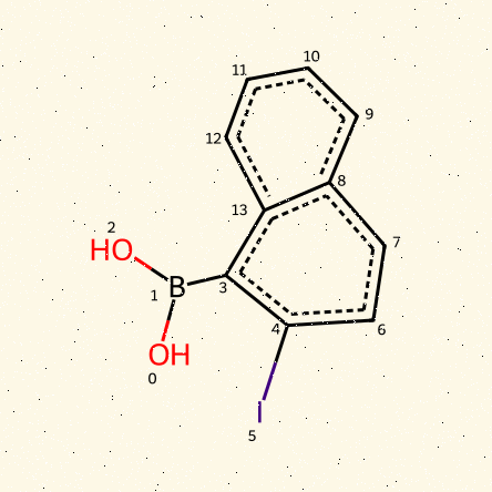 OB(O)c1c(I)ccc2ccccc12